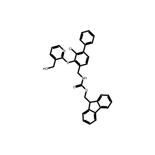 O=C(NCc1ccc(-c2ccccc2)c(Cl)c1Sc1ncccc1CO)OCC1c2ccccc2-c2ccccc21